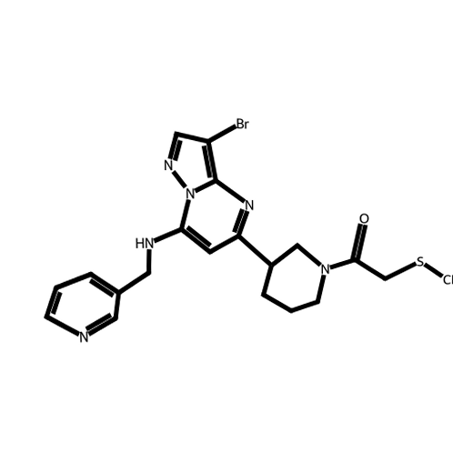 CSCC(=O)N1CCCC(c2cc(NCc3cccnc3)n3ncc(Br)c3n2)C1